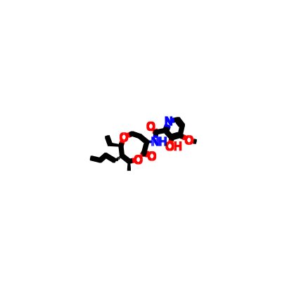 CCCC[C@H]1[C@H](C)OC(=O)[C@@H](NC(=O)c2nccc(OC)c2O)CCO[C@@H]1CC